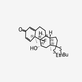 CCCCSC1(SCC)CC[C@H]2[C@@H]3CCC4=CC(=O)C=C[C@]4(C)[C@@]3(F)[C@@H](O)C[C@@]21C